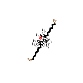 CC(C)(CCCCCCCBr)[Si](C)(C)O[Si](C)(C)C(C)(C)CCCCCCCBr